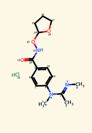 CN=C(C)N(C)c1ccc(C(=O)NOC2CCCO2)cc1.Cl